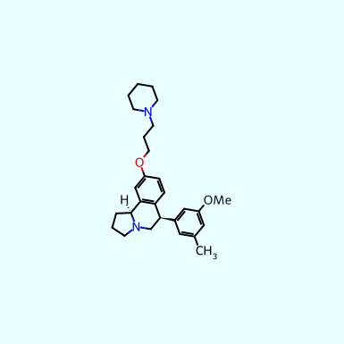 COc1cc(C)cc([C@H]2CN3CCC[C@H]3c3cc(OCCCN4CCCCC4)ccc32)c1